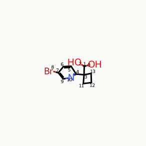 OC(O)C1(c2ccc(Br)cn2)CCC1